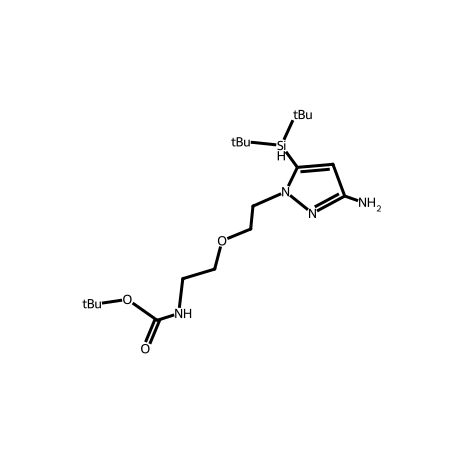 CC(C)(C)OC(=O)NCCOCCn1nc(N)cc1[SiH](C(C)(C)C)C(C)(C)C